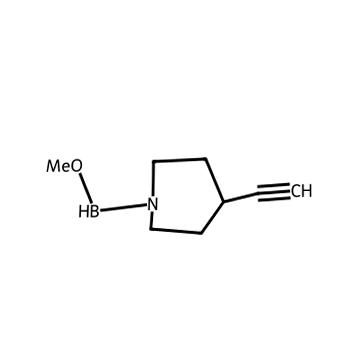 C#CC1CCN(BOC)CC1